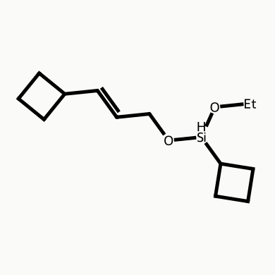 CCO[SiH](OCC=CC1CCC1)C1CCC1